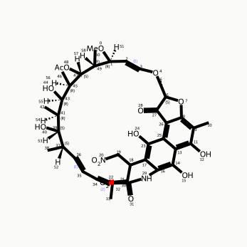 CO[C@H]1/C=C/O[C@@]2(C)Oc3c(C)c(O)c4c(O)c(c(C(C[N+](=O)[O-])C[N+](=O)[O-])c(O)c4c3C2=O)NC(=O)/C(C)=C\C=C\[C@H](C)[C@H](O)[C@@H](C)[C@@H](O)[C@@H](C)[C@H](OC(C)=O)[C@@H]1C